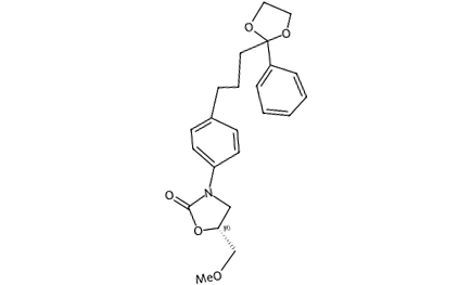 COC[C@H]1CN(c2ccc(CCCC3(c4ccccc4)OCCO3)cc2)C(=O)O1